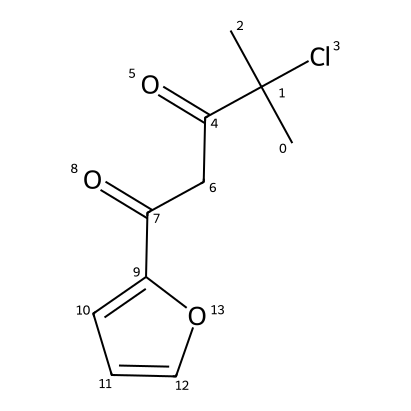 CC(C)(Cl)C(=O)CC(=O)c1ccco1